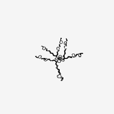 CCOCCCCCCC(CCCOCCOCC)OP(=O)(OC(CCCCCCOCC)CCCOCCOCC)OC(CCCCCCOCC)CCCOCCOCC